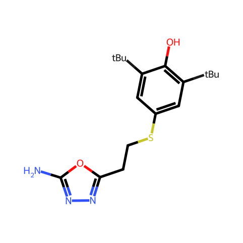 CC(C)(C)c1cc(SCCc2nnc(N)o2)cc(C(C)(C)C)c1O